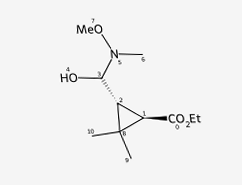 CCOC(=O)[C@@H]1[C@@H](C(O)N(C)OC)C1(C)C